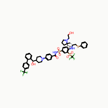 C[C@@]1(C[C@H](CSc2ccccc2)Nc2ccc(S(=O)(=O)NC(=O)c3ccc(N4CCC([C@@H](O)c5ccccc5-c5ccc(C(F)(F)F)cc5)CC4)cc3)cc2S(=O)(=O)C(F)(F)F)CCCN1CCO